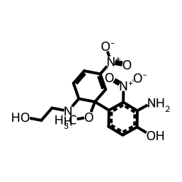 COC1(c2ccc(O)c(N)c2[N+](=O)[O-])C=C([N+](=O)[O-])C=CC1NCCO